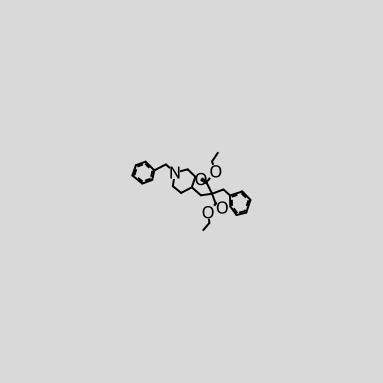 CCOC(=O)C(Cc1ccccc1)(CC1CCN(Cc2ccccc2)CC1)C(=O)OCC